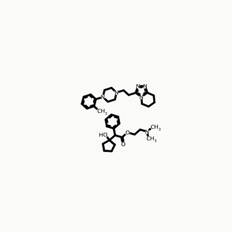 CN(C)CCOC(=O)C(c1ccccc1)C1(O)CCCC1.Cc1ccccc1N1CCN(CCc2nnc3n2CCCC3)CC1